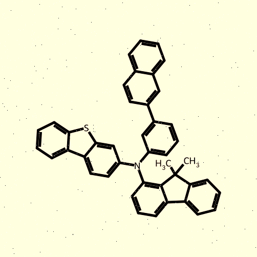 CC1(C)c2ccccc2-c2cccc(N(c3cccc(-c4ccc5ccccc5c4)c3)c3ccc4c(c3)sc3ccccc34)c21